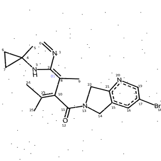 C=N/C(NC1(C)CC1)=C(\C)C(C(=O)N1Cc2cc(Br)cnc2C1)=C(C)C